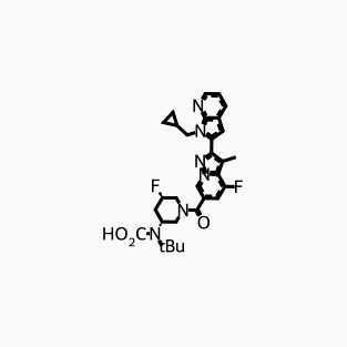 Cc1c(-c2cc3cccnc3n2CC2CC2)nn2cc(C(=O)N3C[C@H](F)C[C@@H](N(C(=O)O)C(C)(C)C)C3)cc(F)c12